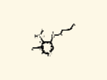 CCCCOc1cncc(C)c1NC